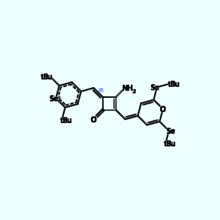 CC(C)(C)[Se]C1=CC(=CC2=C(N)/C(=C/c3cc(C(C)(C)C)[se+]c(C(C)(C)C)c3)C2=O)C=C([Se]C(C)(C)C)O1